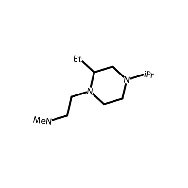 CCC1CN(C(C)C)CCN1CCNC